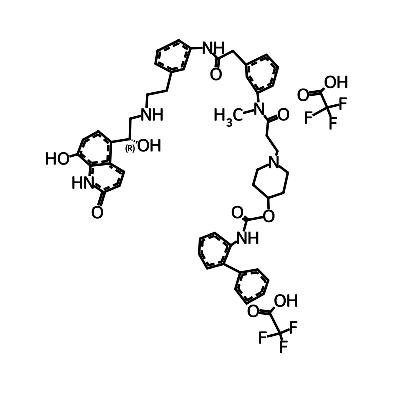 CN(C(=O)CCN1CCC(OC(=O)Nc2ccccc2-c2ccccc2)CC1)c1cccc(CC(=O)Nc2cccc(CCNC[C@H](O)c3ccc(O)c4[nH]c(=O)ccc34)c2)c1.O=C(O)C(F)(F)F.O=C(O)C(F)(F)F